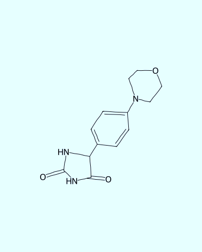 O=C1NC(=O)C(c2ccc(N3CCOCC3)cc2)N1